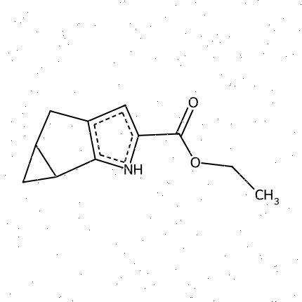 CCOC(=O)c1cc2c([nH]1)C1CC1C2